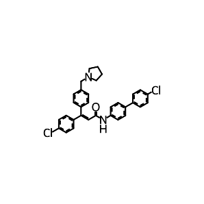 O=C(C=C(c1ccc(Cl)cc1)c1ccc(CN2CCCC2)cc1)Nc1ccc(-c2ccc(Cl)cc2)cc1